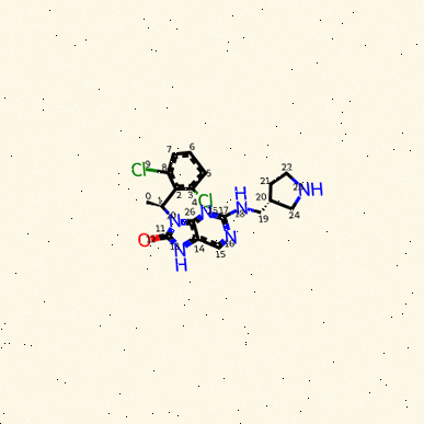 C[C@@H](c1c(Cl)cccc1Cl)n1c(=O)[nH]c2cnc(NC[C@@H]3CCNC3)nc21